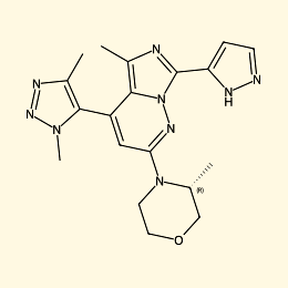 Cc1nnn(C)c1-c1cc(N2CCOC[C@H]2C)nn2c(-c3ccn[nH]3)nc(C)c12